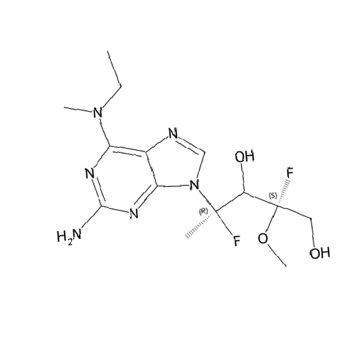 CCN(C)c1nc(N)nc2c1ncn2[C@](C)(F)C(O)[C@@](F)(CO)OC